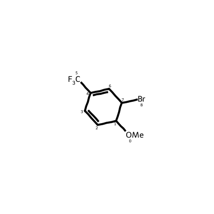 COC1C=CC(C(F)(F)F)=C[C]1Br